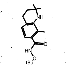 Cc1c(C(=O)NOC(C)(C)C)ccc2c1NC(C)(C)CC2